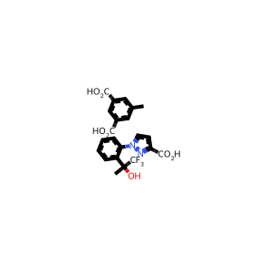 CC(O)(c1ccccc1-n1ccc(C(=O)O)n1)C(F)(F)F.Cc1cc(C(=O)O)cc(C(=O)O)c1